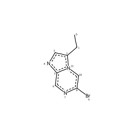 CCc1cnc2cnc(Br)cn12